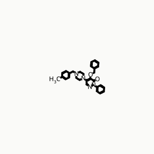 Cc1ccc(CN2CCN(c3cnn(-c4ccccc4)c(=O)c3OCc3ccccc3)CC2)cc1